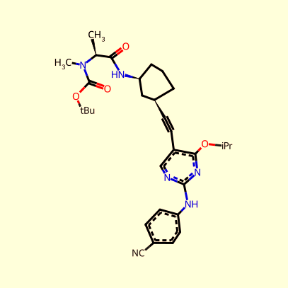 CC(C)Oc1nc(Nc2ccc(C#N)cc2)ncc1C#C[C@@H]1CCC[C@H](NC(=O)[C@H](C)N(C)C(=O)OC(C)(C)C)C1